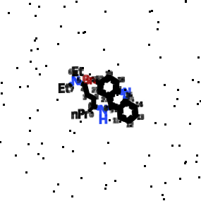 CCC[C@@H](CCCN(CC)CC)Nc1c2ccccc2nc2ccc(Br)cc12